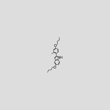 CCCCOc1ccc(-c2cc3cc(OCCCC)ccc3[nH]2)c(C)c1